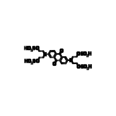 O=C1c2ccc(N(CCOS(=O)(=O)O)CCOS(=O)(=O)O)cc2C(=O)c2ccc(N(CCOS(=O)(=O)O)CCOS(=O)(=O)O)cc21